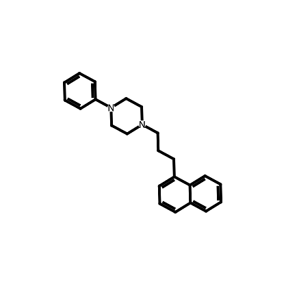 c1ccc(N2CCN(CCCc3cccc4ccccc34)CC2)cc1